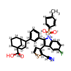 Cc1ccc(S(=O)(=O)n2c(-c3cccc(C4CCC5(C(=O)O)CCCC4C5)c3)c(-c3ccsc3C#N)c3cc(F)ccc32)cc1